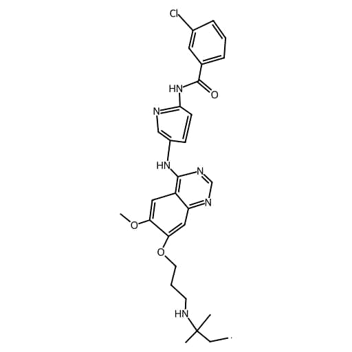 [CH2]CC(C)(C)NCCCOc1cc2ncnc(Nc3ccc(NC(=O)c4cccc(Cl)c4)nc3)c2cc1OC